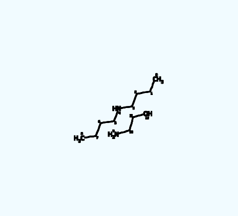 CCCCNCCCC.NCCO